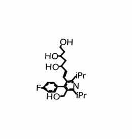 CC(C)c1nc(C(C)C)c(CO)c(-c2ccc(F)cc2)c1/C=C/C(O)CC(O)CCO